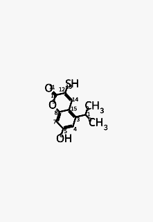 CC(C)c1cc(O)cc2oc(=O)c(S)cc12